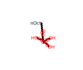 CCCCCCCC/C=C\CCCCCCCC(=O)OCCOCCCCC(OCCOCCO)[C@H]1OC[C@@H](OCCOCCO)[C@@H]1OCCOCCO